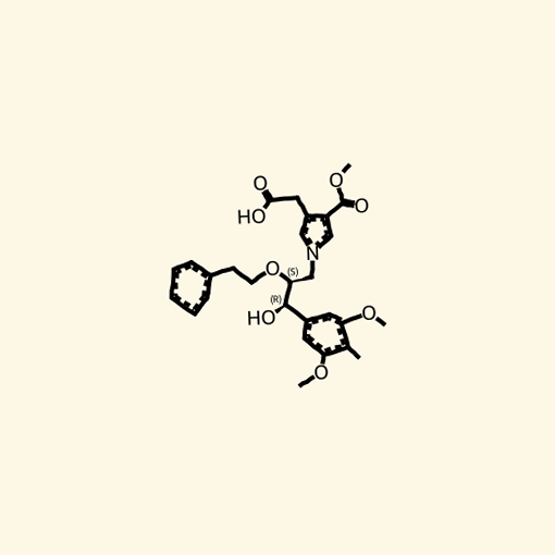 COC(=O)c1cn(C[C@H](OCCc2ccccc2)[C@H](O)c2cc(OC)c(C)c(OC)c2)cc1CC(=O)O